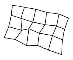 C1C2C3CC4C5C6C7CC8C9CC%10C%11C%12C1C21C34C52C%121C%111C9%10C87C621